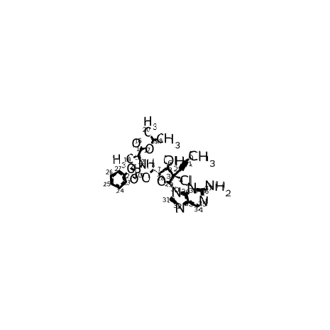 CC#C[C@@]1(Cl)C(O)[C@@H](COP(=O)(N[C@@H](C)C(=O)OC(C)C)Oc2ccccc2)O[C@H]1n1cnc2cnc(N)nc21